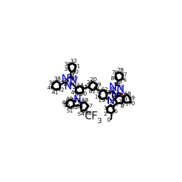 Cc1ccc2c(c1)c1ccccc1n2-c1ccc(-c2cccc(-c3cc(-c4nc(-c5ccccc5)nc(-c5ccccc5)n4)cc(-n4c5ccccc5c5cc(C(F)(F)F)ccc54)c3)c2)cc1-c1nc(-c2ccccc2)nc(-c2ccccc2)n1